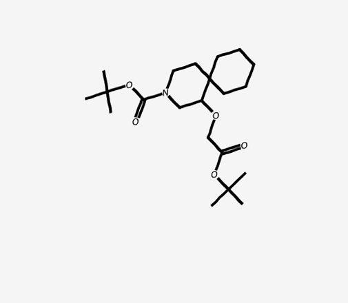 CC(C)(C)OC(=O)COC1CN(C(=O)OC(C)(C)C)CCC12CCCCC2